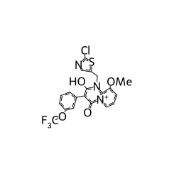 COc1ccc[n+]2c(=O)c(-c3cccc(OC(F)(F)F)c3)c(O)n(Cc3cnc(Cl)s3)c12